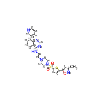 Cc1cc(-c2ccc(S(=O)(=O)N3CCN(CCNc4ncnc5c(-c6cccnc6)cccc45)CC3)s2)on1